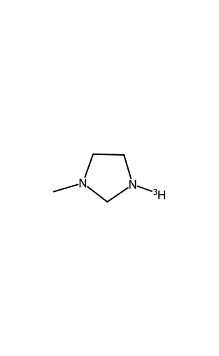 [3H]N1CCN(C)C1